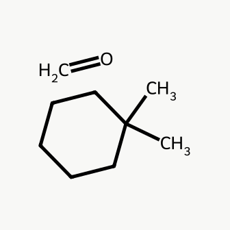 C=O.CC1(C)CCCCC1